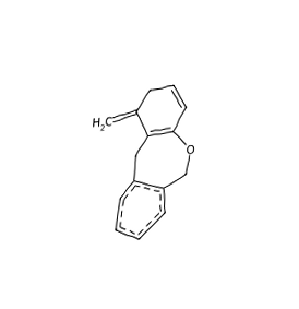 C=C1CC=CC2=C1Cc1ccccc1CO2